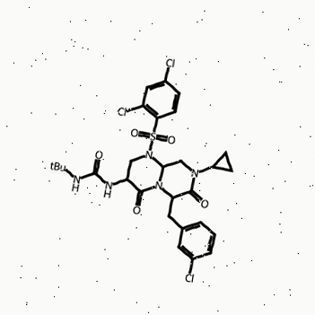 CC(C)(C)NC(=O)NC1CN(S(=O)(=O)c2ccc(Cl)cc2Cl)C2CN(C3CC3)C(=O)C(Cc3cccc(Cl)c3)N2C1=O